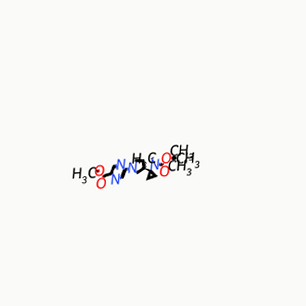 COC(=O)c1cnc(N2CC[C@@H](C3(N(C)C(=O)OC(C)(C)C)CC3)C2)cn1